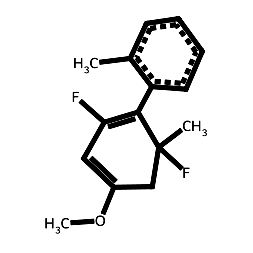 COC1=CC(F)=C(c2ccccc2C)C(C)(F)C1